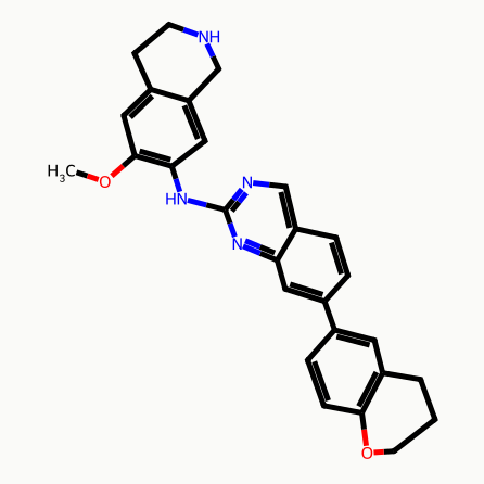 COc1cc2c(cc1Nc1ncc3ccc(-c4ccc5c(c4)CCCO5)cc3n1)CNCC2